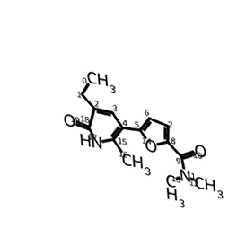 CCc1cc(-c2ccc(C(=O)N(C)C)o2)c(C)[nH]c1=O